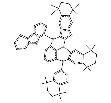 CC1(C)CCC(C)(C)c2cc(N3c4cc5c(cc4B4c6sc7cc8c(cc7c6N(c6cccc7c6sc6ccccc67)c6cccc3c64)C(C)(C)CCC8(C)C)C(C)(C)CCC5(C)C)ccc21